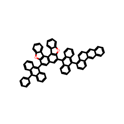 c1ccc(-c2c3ccccc3c(-c3cc4cc(-c5c6ccccc6c(-c6cccc7c6ccc6cc8ccccc8cc67)c6ccccc56)c5oc6ccccc6c5c4c4c3oc3ccccc34)c3ccccc23)cc1